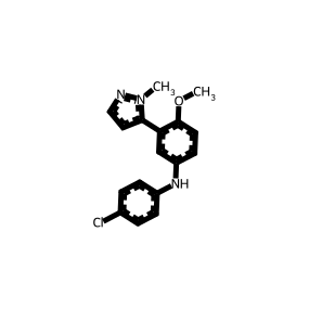 COc1ccc(Nc2ccc(Cl)cc2)cc1-c1ccnn1C